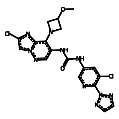 COC1CN(c2c(NC(=O)Nc3cnc(-n4nccn4)c(Cl)c3)cnn3cc(Cl)nc23)C1